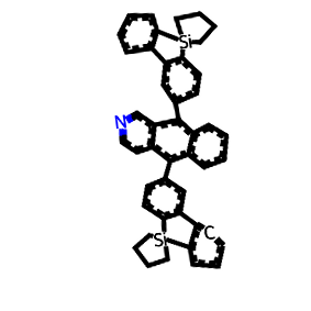 c1ccc2c(c1)-c1cc(-c3c4ccccc4c(-c4ccc5c(c4)-c4ccccc4[Si]54CCCC4)c4cnccc34)ccc1[Si]21CCCC1